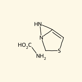 C1=C2NN2CS1.NC(=O)O